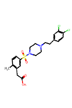 Cc1ccc(S(=O)(=O)N2CCN(CCc3ccc(Cl)c(Cl)c3)CC2)cc1CC(=O)O